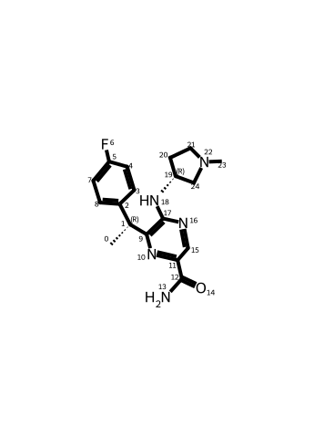 C[C@H](c1ccc(F)cc1)c1nc(C(N)=O)cnc1N[C@@H]1CCN(C)C1